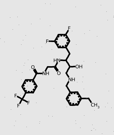 CCc1cccc(CNCC(O)C(Cc2cc(F)cc(F)c2)NC(=O)CNC(=O)c2ccc(C(F)(F)F)cc2)c1